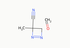 C=O.CC1(C#N)CN=N1